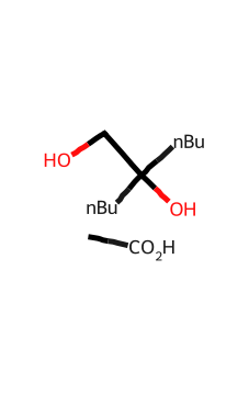 CC(=O)O.CCCCC(O)(CO)CCCC